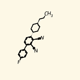 CCC[C@H]1CC[C@H](c2ccc(-c3ccc(F)cc3)c(C#N)c2C#N)CC1